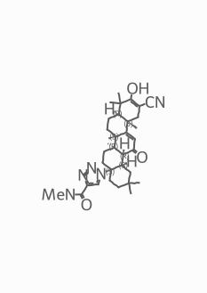 CNC(=O)c1cn([C@]23CCC(C)(C)C[C@H]2[C@H]2C(=O)C=C4[C@@]5(C)CC(C#N)=C(O)C(C)(C)[C@@H]5CC[C@@]4(C)[C@]2(C)CC3)nn1